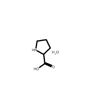 O.O=C(O)[C]1CCCN1